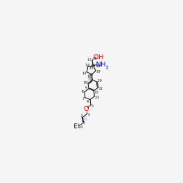 CC/C=C/COCC1CCc2cc([C@H]3CC[C@](N)(CO)C3)ccc2C1